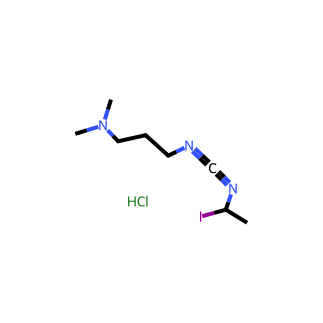 CC(I)N=C=NCCCN(C)C.Cl